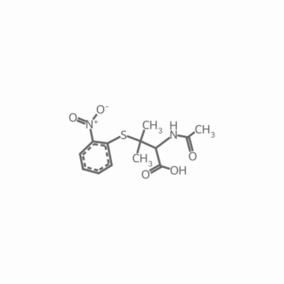 CC(=O)NC(C(=O)O)C(C)(C)Sc1ccccc1[N+](=O)[O-]